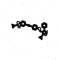 C(#Cc1ccc2oc(C3CC3)nc2c1)c1ccc(OCc2c(-c3ccccc3)noc2C2CC2)cc1